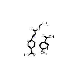 CCOC(=O)/C=C/c1ccc(C(=O)O)cn1.Cc1ccc(C(=O)O)cn1